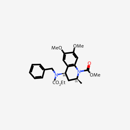 CCOC(=O)N(Cc1ccccc1)[C@@H]1C[C@H](C)N(C(=O)OC)c2cc(OC)c(OC)cc21